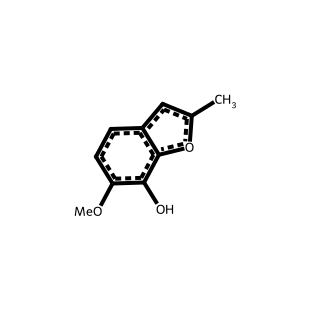 COc1ccc2cc(C)oc2c1O